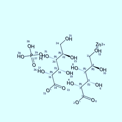 O=C([O-])[C@H](O)[C@@H](O)[C@H](O)[C@H](O)CO.O=C([O-])[C@H](O)[C@@H](O)[C@H](O)[C@H](O)CO.O=P(O)(O)O.[Zn+2]